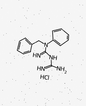 Cl.N=C(N)NC(=N)N(Cc1ccccc1)c1ccccc1